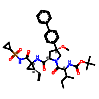 C=C[C@@H]1C[C@]1(NC(=O)[C@@H]1C[C@@](OC)(c2ccc(-c3ccccc3)cc2)CN1C(=O)[C@@H](NC(=O)OC(C)(C)C)C(C)CC)C(=O)NS(=O)(=O)C1CC1